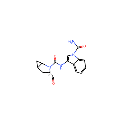 NC(=O)n1cc(NC(=O)N2C3CC3C[C@H]2C=O)c2ccccc21